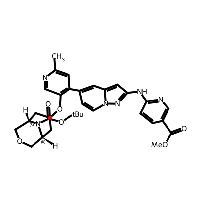 COC(=O)c1ccc(Nc2cc3cc(-c4cc(C)ncc4OC4C[C@H]5COC[C@@H](C4)N5C(=O)OC(C)(C)C)ccn3n2)nc1